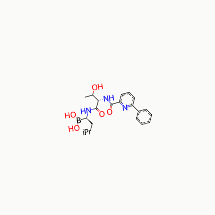 CC(C)C[C@H](NC(=O)[C@@H](NC(=O)c1cccc(-c2ccccc2)n1)C(C)O)B(O)O